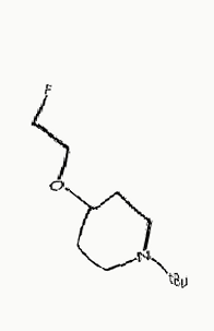 CC(C)(C)N1CCC(OCCF)CC1